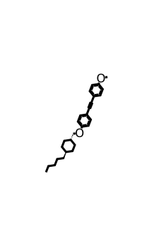 CCCCC[C@H]1CC[C@H](COc2ccc(C#Cc3ccc(OC)cc3)cc2)CC1